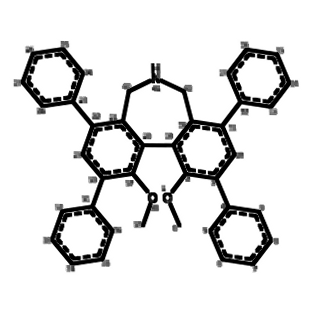 COc1c(-c2ccccc2)cc(-c2ccccc2)c2c1-c1c(c(-c3ccccc3)cc(-c3ccccc3)c1OC)CNC2